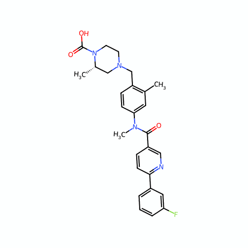 Cc1cc(N(C)C(=O)c2ccc(-c3cccc(F)c3)nc2)ccc1CN1CCN(C(=O)O)[C@@H](C)C1